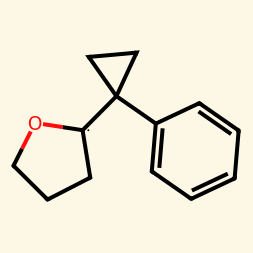 c1ccc(C2([C]3CCCO3)CC2)cc1